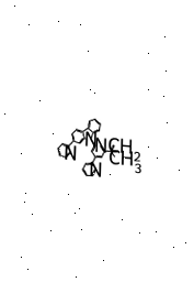 C=C(C)c1cc(-c2ccccn2)cc(-n2c3ccccc3c3ccc(-c4ccccn4)cc32)n1